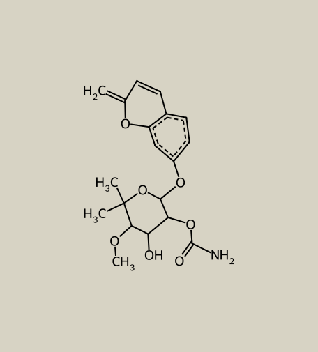 C=C1C=Cc2ccc(OC3OC(C)(C)C(OC)C(O)C3OC(N)=O)cc2O1